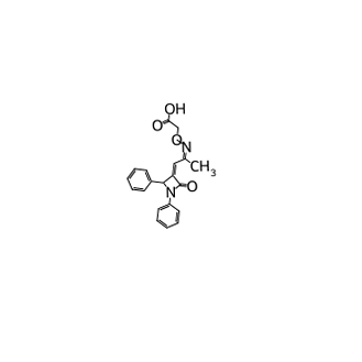 CC(/C=C1\C(=O)N(c2ccccc2)C1c1ccccc1)=N/OCC(=O)O